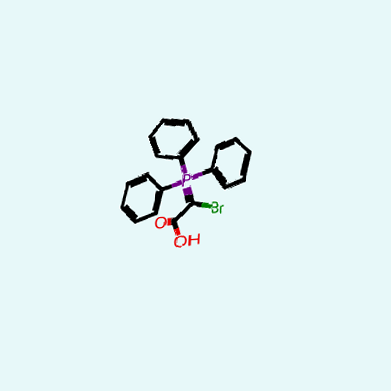 O=C(O)C(Br)=P(c1ccccc1)(c1ccccc1)c1ccccc1